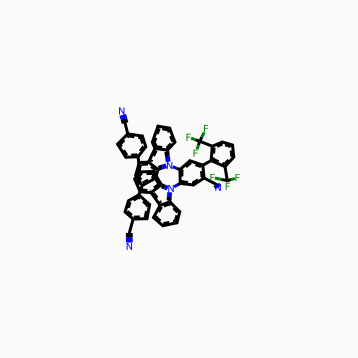 N#Cc1ccc(-c2ccc3c4ccccc4n(-c4cc(C#N)c(-c5c(C(F)(F)F)cccc5C(F)(F)F)cc4-n4c5ccccc5c5ccc(-c6ccc(C#N)cc6)cc54)c3c2)cc1